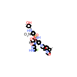 C[C@@H]1C[C@]2(COCCN2C2CC3(CCN(c4ccc(C(=O)NS(=O)(=O)c5ccc(NC[C@H]6CC[C@](C)(O)CC6)c([N+](=O)[O-])c5)c(N5c6cc7c(F)c[nH]c7nc6O[C@H]6COCC[C@@H]65)c4)CC3)C2)c2ccccc21